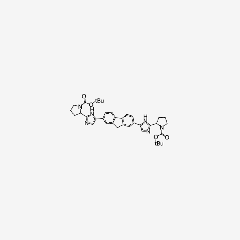 CC(C)(C)OC(=O)N1CCCC1c1ncc(-c2ccc3c(c2)Cc2cc(-c4cnc(C5CCCN5C(=O)OC(C)(C)C)[nH]4)ccc2-3)[nH]1